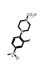 C[S@+]([O-])c1ccc(N2CCN(C(=O)O)CC2)c(F)c1